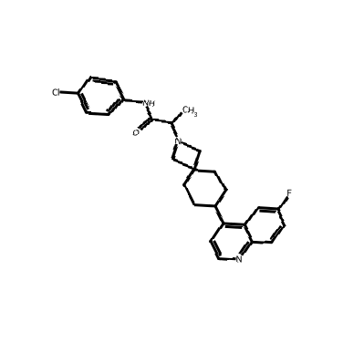 CC(C(=O)Nc1ccc(Cl)cc1)N1CC2(CCC(c3ccnc4ccc(F)cc34)CC2)C1